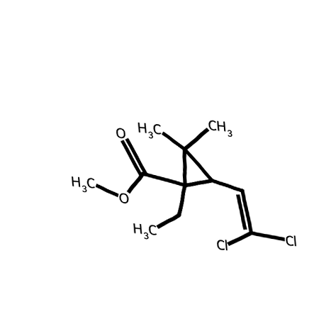 CCC1(C(=O)OC)C(C=C(Cl)Cl)C1(C)C